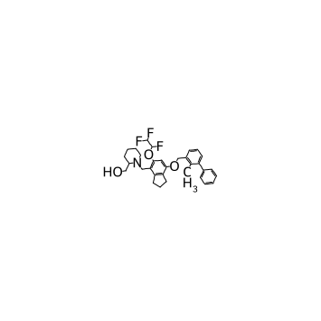 Cc1c(COc2cc(OC(F)C(F)F)c(CN3CCCCC3CO)c3c2CCC3)cccc1-c1ccccc1